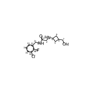 O=C(CNC1CC(CO)C1)NCc1cccc(Cl)c1F